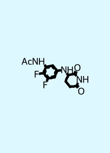 CC(=O)Nc1cc(NC2CCC(=O)NC2=O)cc(F)c1F